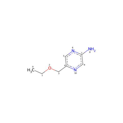 CCOCc1cnc(N)cn1